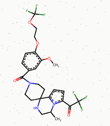 COc1cc(C(=O)N2CCC3(CC2)NCC(C)n2c(C(=O)C(F)(F)F)ccc23)ccc1OCCOC(F)(F)F